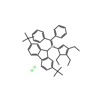 CCC1=C(CC)C(CC)[C]([Zr+2](=[C](c2ccccc2)c2ccccc2)[CH]2c3cc(C(C)(C)C)ccc3-c3ccc(C(C)(C)C)cc32)=C1.[Cl-].[Cl-]